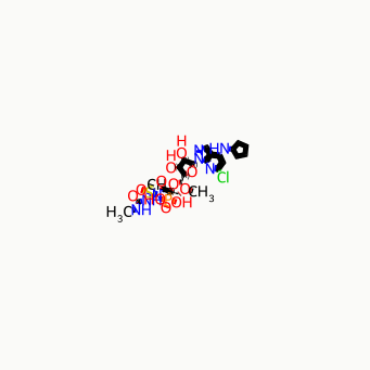 CNC(=O)NS(C)(=O)=NC(=O)[C@@](COC)(OC[C@H]1O[C@@H](n2ncc3c(NC4CCCC4)cc(Cl)nc32)[C@H](O)[C@@H]1O)P(=O)(O)O